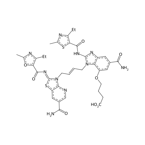 CCc1nc(C)oc1C(=O)/N=c1\sc2cc(C(N)=O)cnc2n1C/C=C/Cn1c(NC(=O)c2sc(C)nc2CC)nc2cc(C(N)=O)cc(OCCCC(=O)O)c21